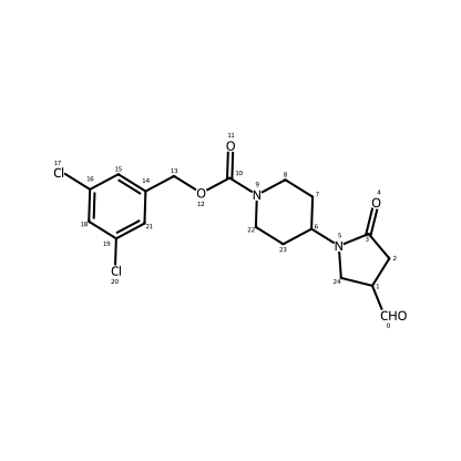 O=CC1CC(=O)N(C2CCN(C(=O)OCc3cc(Cl)cc(Cl)c3)CC2)C1